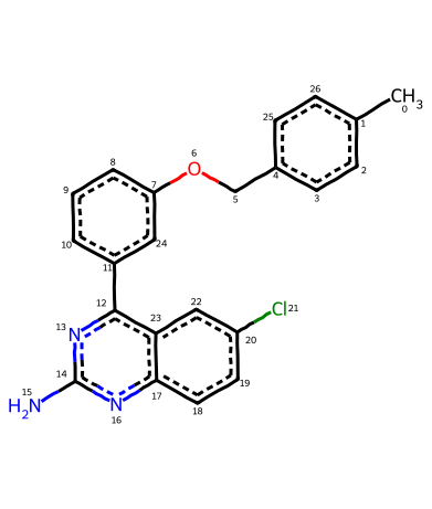 Cc1ccc(COc2cccc(-c3nc(N)nc4ccc(Cl)cc34)c2)cc1